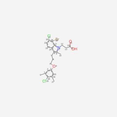 Cc1cc(OCCCc2c(C)n(CCC(=O)O)c3c(Br)c(Cl)ccc23)cc(C)c1Cl